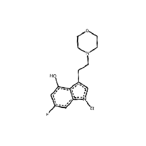 CCn1cc(CCN2CCOCC2)c2c(O)cc(F)cc21